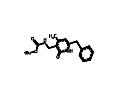 Cc1cc(Cc2ccccc2)[nH]c(=O)c1CNC(=O)OC(C)(C)C